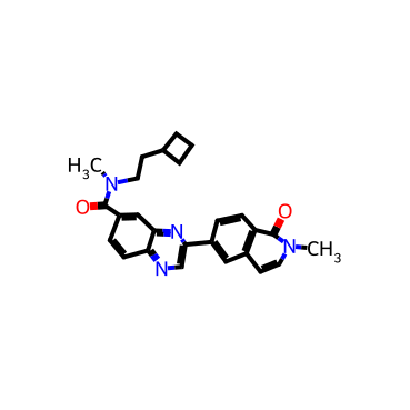 CN(CCC1CCC1)C(=O)c1ccc2ncc(-c3ccc4c(=O)n(C)ccc4c3)nc2c1